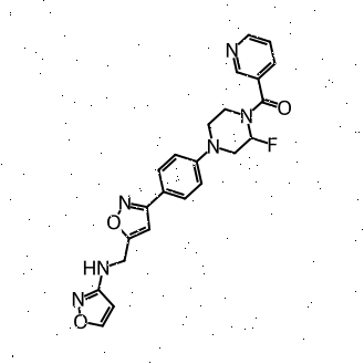 O=C(c1cccnc1)N1CCN(c2ccc(-c3cc(CNc4ccon4)on3)cc2)CC1F